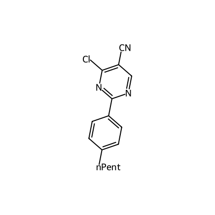 CCCCCc1ccc(-c2ncc(C#N)c(Cl)n2)cc1